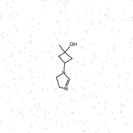 CC1(O)CC(N2C=NCC2)C1